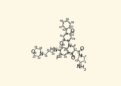 NC1CCN(C(=O)c2cn3c4c(c(NCCCN5CCOCC5)c(F)cc4c2=O)Oc2cc4c(cc2-3)oc2ccccc24)C1